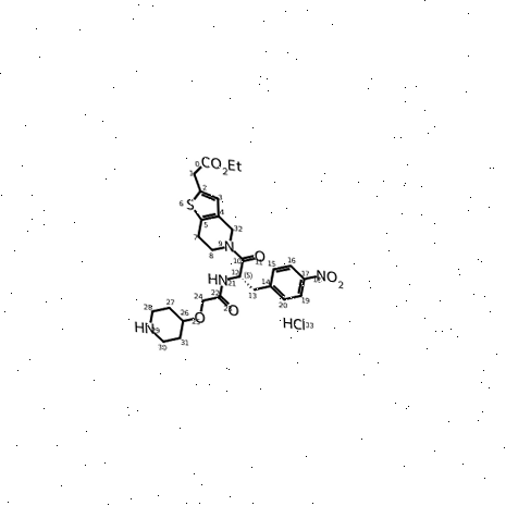 CCOC(=O)Cc1cc2c(s1)CCN(C(=O)[C@H](Cc1ccc([N+](=O)[O-])cc1)NC(=O)COC1CCNCC1)C2.Cl